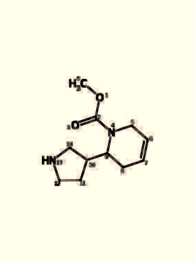 COC(=O)N1CC=CCC1C1CCNC1